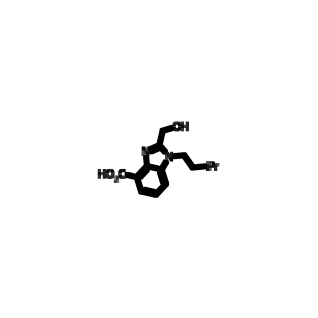 CC(C)CCn1c(CO)nc2c(C(=O)O)cccc21